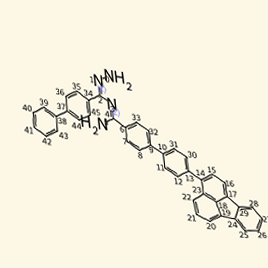 N/N=C(\N=C(/N)c1ccc(-c2ccc(-c3ccc4c5c(cccc35)-c3ccccc3-4)cc2)cc1)c1ccc(-c2ccccc2)cc1